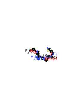 Cc1ncsc1-c1ccc([C@H](C)NC(=O)[C@@H]2C[C@@H](O)CN2C[C@@](C=O)(NC(=O)CC(C)C(C)CC(=O)N2CCC(n3cc(-c4ccc5c(c4)CCN5C(=O)Cc4cccc(OC(F)(F)F)c4)c4c(N)ncnc43)CC2)C(C)(C)C)cc1